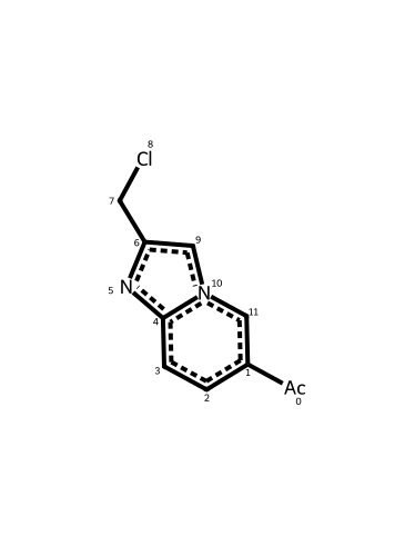 CC(=O)c1ccc2nc(CCl)cn2c1